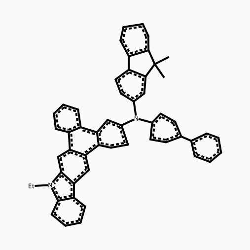 CCn1c2ccccc2c2cc3c4ccc(N(c5ccc(-c6ccccc6)cc5)c5ccc6c(c5)C(C)(C)c5ccccc5-6)cc4c4ccccc4c3cc21